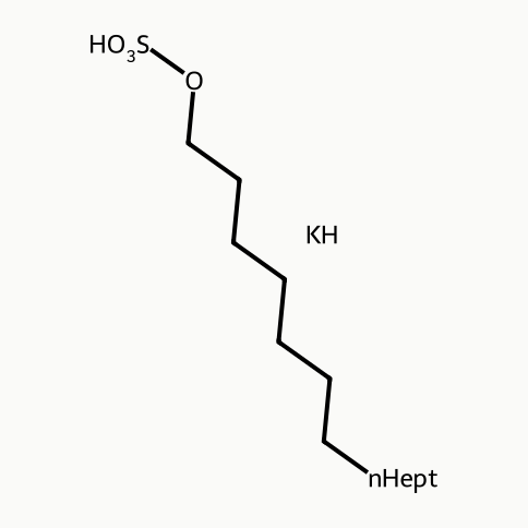 CCCCCCCCCCCCCCOS(=O)(=O)O.[KH]